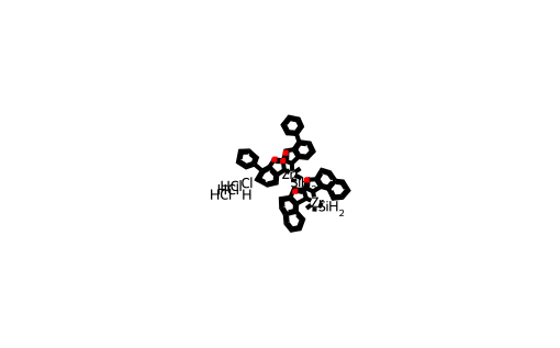 CC1=Cc2c(-c3ccccc3)cccc2[CH]1[Zr]([CH3])([CH3])(=[SiH2])[CH]1C(C)=Cc2c(-c3ccccc3)cccc21.CC1=Cc2ccc3ccccc3c2[CH]1[Zr]([CH3])([CH3])(=[SiH2])[CH]1C(C)=Cc2ccc3ccccc3c21.Cl.Cl.Cl.Cl